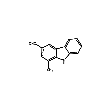 Cc1cc(C=O)cc2c1[nH]c1ccccc12